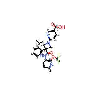 Cc1ccc(NC(=O)C2(c3ccccc3C(C)C)CN(c3ccc(C(=O)O)cn3)C2)c(OC(F)F)n1